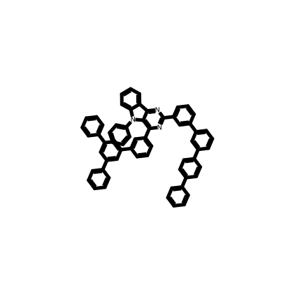 c1ccc(-c2ccc(-c3cccc(-c4cccc(-c5nc(-c6cccc(-c7cc(-c8ccccc8)cc(-c8ccccc8)c7)c6)c6c(n5)c5ccccc5n6-c5ccccc5)c4)c3)cc2)cc1